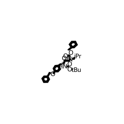 CC(C)CN(C[C@@H](O)[C@H](Cc1ccc(OCc2ccccc2)cc1)NC(=O)OC(C)(C)C)C(=O)OCc1ccccc1